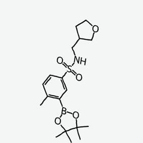 Cc1ccc(S(=O)(=O)NCC2CCOC2)cc1B1OC(C)(C)C(C)(C)O1